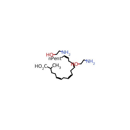 CCCCC/C=C\C/C=C\C/C=C\C/C=C\CCC(C)C(=O)O.NCCO.NCCO